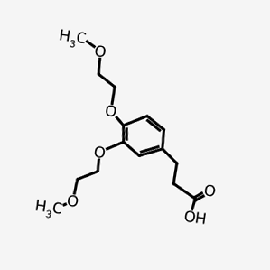 COCCOc1ccc(CCC(=O)O)cc1OCCOC